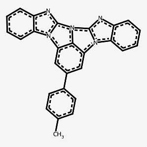 Cc1ccc(-c2cc3c4c(c2)n2c5ccccc5nc2n4c2nc4ccccc4n32)cc1